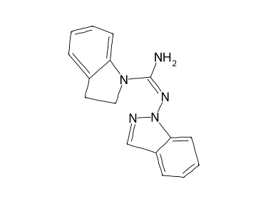 NC(=Nn1ncc2ccccc21)N1CCc2ccccc21